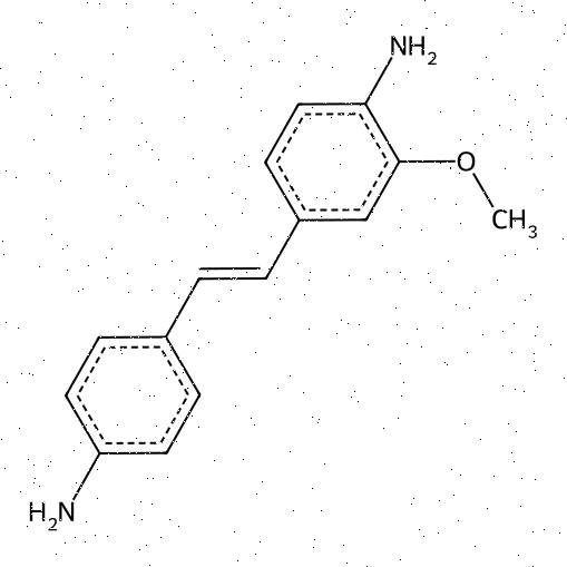 COc1cc(/C=C/c2ccc(N)cc2)ccc1N